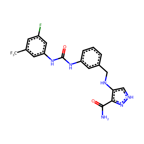 NC(=O)c1n[nH]cc1NCc1cccc(NC(=O)Nc2cc(F)cc(C(F)(F)F)c2)c1